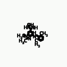 Cc1cccc(C)c1CNc1cc(C(=N)NO)cc2c1nc(C)n2C